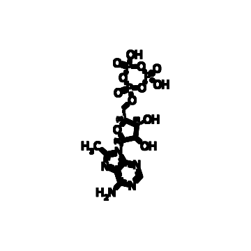 Cc1nc2c(N)ncnc2n1[C@@H]1O[C@H](COP2(=O)OP(=O)(O)OP(=O)(O)O2)[C@H](O)C1O